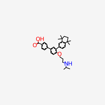 CC(C)NCCCOc1ccc(-c2ccc(C(=O)O)cc2)cc1-c1ccc2c(c1)C(C)(C)CCC2(C)C